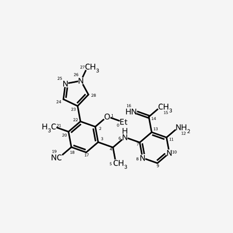 CCOc1c(C(C)Nc2ncnc(N)c2C(C)=N)cc(C#N)c(C)c1-c1cnn(C)c1